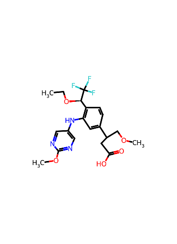 CCO[C@H](c1ccc(C(COC)CC(=O)O)cc1Nc1cnc(OC)nc1)C(F)(F)F